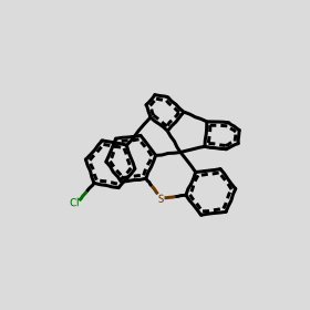 Clc1ccc(-c2cccc3c2C2(c4ccccc4Sc4ccccc42)c2ccccc2-3)cc1